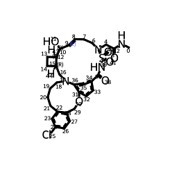 CNC(=O)CN1CC/C=C/[C@H](O)[C@@H]2CC[C@H]2CN2CCCCc3cc(Cl)ccc3COc3ccc(cc32)C(=O)NS1(=O)=O